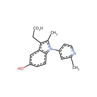 Cc1cc(-n2c(C)c(CC(=O)O)c3cc(O)ccc32)ccn1